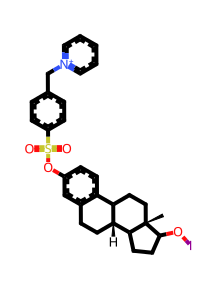 C[C@]12CCC3c4ccc(OS(=O)(=O)c5ccc(C[n+]6ccccc6)cc5)cc4CC[C@H]3C1CCC2OI